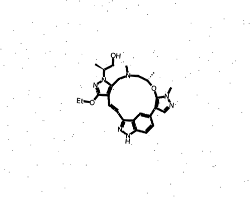 CCOc1nn([C@@H](C)CO)c2c1/C=C/c1n[nH]c3ccc(cc13)-c1cnn(C)c1O[C@@H](C)CN(C)C2